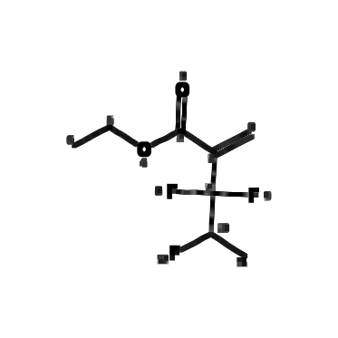 C=C(C(=O)OCC)C(F)(F)C(C)F